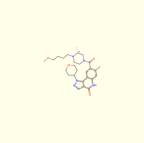 COCCCCN1CCN(C(=O)c2cc3c(cc2C)[nH]c(=O)c2cnn(C4CCOCC4)c23)C[C@H]1C